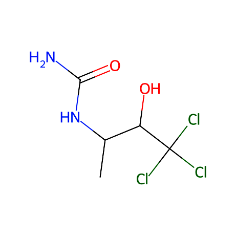 CC(NC(N)=O)C(O)C(Cl)(Cl)Cl